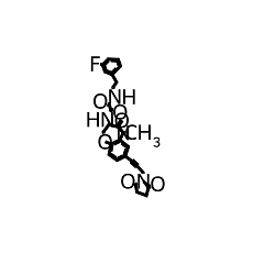 CN1C(=O)[C@@H](NC(=O)C(=O)NCCc2cccc(F)c2)COc2ccc(C#CCN3C(=O)CCC3=O)cc21